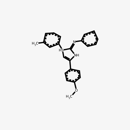 COc1ccc(C2=C[SH](c3cccc(C)c3)C(=Nc3ccccc3)N2)cc1